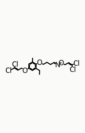 CCc1cc(OCC=C(Cl)Cl)cc(C)c1OCCCC=NOCC=C(Cl)Cl